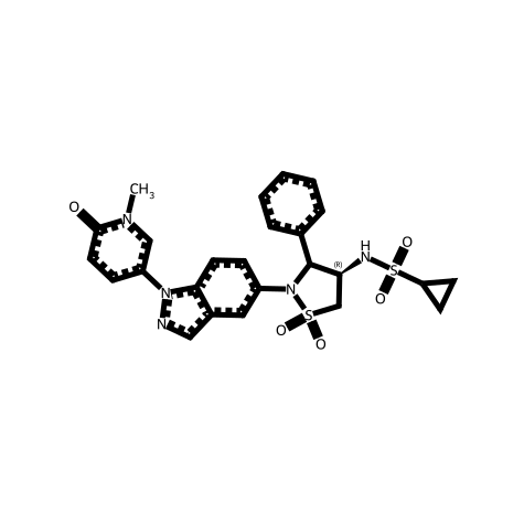 Cn1cc(-n2ncc3cc(N4C(c5ccccc5)[C@@H](NS(=O)(=O)C5CC5)CS4(=O)=O)ccc32)ccc1=O